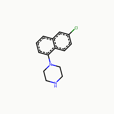 Clc1ccc2c(N3CCNCC3)cccc2c1